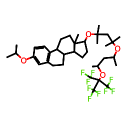 CC(C)Oc1ccc2c(c1)CCC1C2CCC2(C)C(OC(C)(C)CC(C)(C)OC(C)CC(C)OC(C(F)(F)F)(C(F)(F)F)C(F)(F)F)CCC12